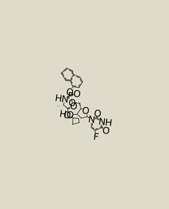 C[C@H](NP(=O)(OC[C@H]1O[C@@H](n2cc(F)c(=O)[nH]c2=O)CC1O)Oc1cccc2ccccc12)C(=O)OC1CCC1